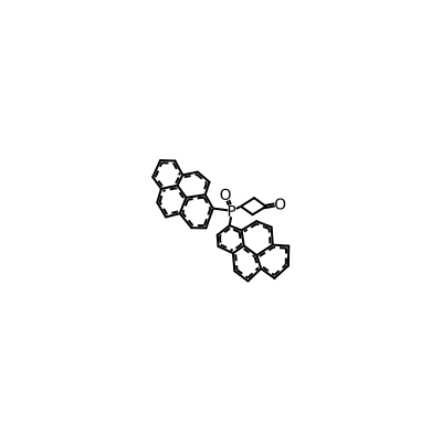 O=C1CC(P(=O)(c2ccc3ccc4cccc5ccc2c3c45)c2ccc3ccc4cccc5ccc2c3c45)C1